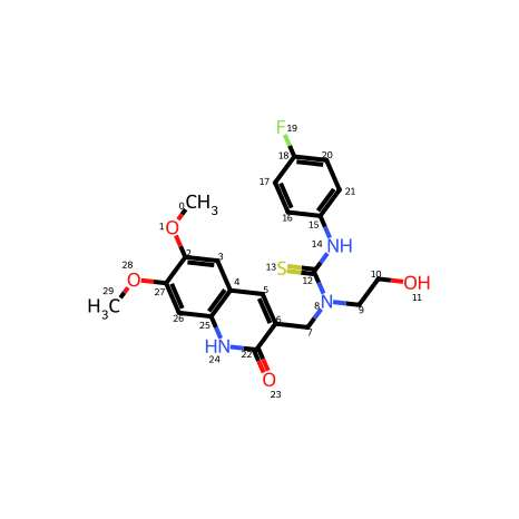 COc1cc2cc(CN(CCO)C(=S)Nc3ccc(F)cc3)c(=O)[nH]c2cc1OC